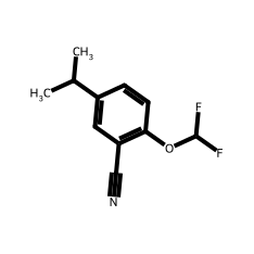 C[C](C)c1ccc(OC(F)F)c(C#N)c1